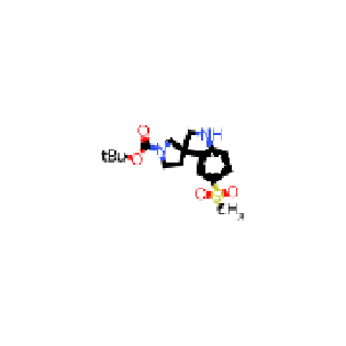 CC(C)(C)OC(=O)N1CCC2(CNc3ccc(S(C)(=O)=O)cc32)C1